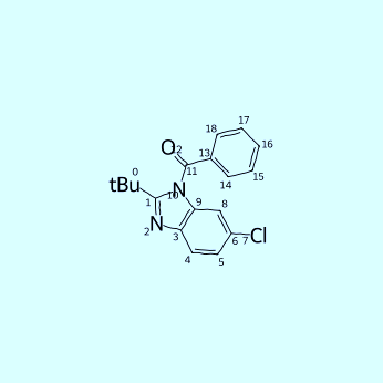 CC(C)(C)c1nc2ccc(Cl)cc2n1C(=O)c1ccccc1